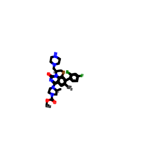 C[C@H]1CN(C(=O)OC(C)(C)C)CCN1c1nc(=O)n2c3c(c(-c4ccc(F)cc4F)c(C(F)(F)F)cc13)SC[C@@H]2CN1CCNCC1